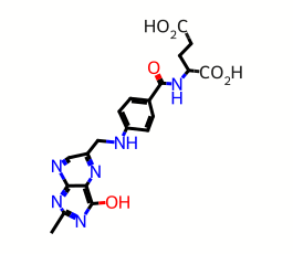 Cc1nc(O)c2nc(CNc3ccc(C(=O)NC(CCC(=O)O)C(=O)O)cc3)cnc2n1